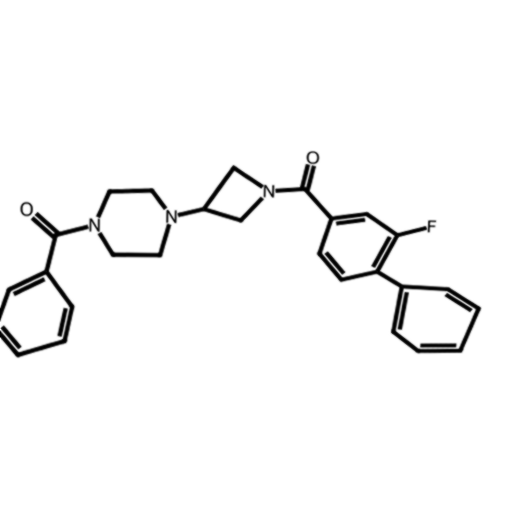 O=C(c1ccccc1)N1CCN(C2CN(C(=O)c3ccc(-c4ccccc4)c(F)c3)C2)CC1